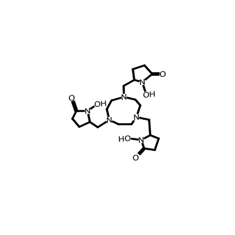 O=C1CCC(CN2CCN(CC3CCC(=O)N3O)CCN(CC3CCC(=O)N3O)CC2)N1O